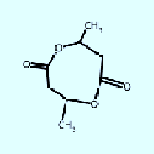 CC1CC(=O)OC(C)CC(=O)O1